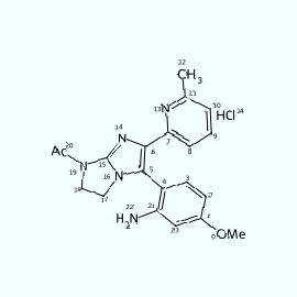 COc1ccc(-c2c(-c3cccc(C)n3)nc3n2CCN3C(C)=O)c(N)c1.Cl